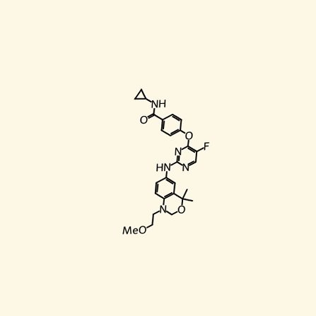 COCCN1COC(C)(C)c2cc(Nc3ncc(F)c(Oc4ccc(C(=O)NC5CC5)cc4)n3)ccc21